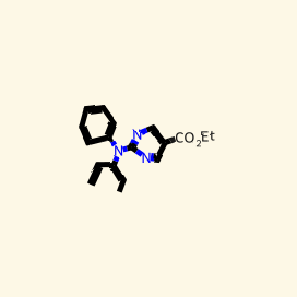 C=C/C(=C\C)N(c1ccccc1)c1ncc(C(=O)OCC)cn1